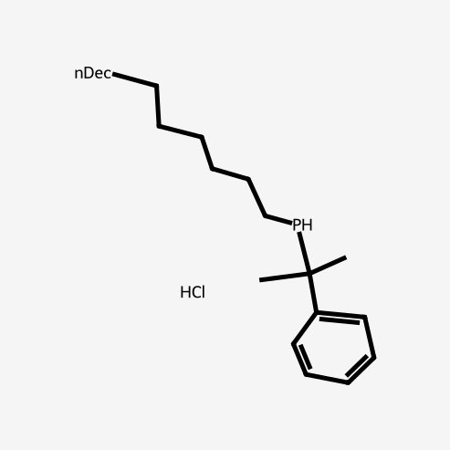 CCCCCCCCCCCCCCCCPC(C)(C)c1ccccc1.Cl